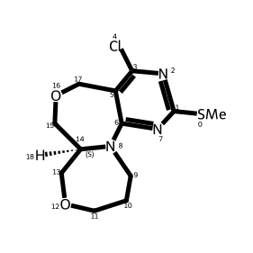 CSc1nc(Cl)c2c(n1)N1CCCOC[C@H]1COC2